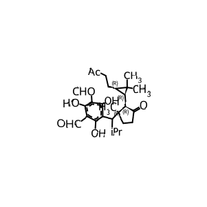 CC(=O)CC[C@@H]1[C@H]([C@H]2C(=O)CC[C@]2(C)C(c2c(O)c(C=O)c(O)c(C=O)c2O)C(C)C)C1(C)C